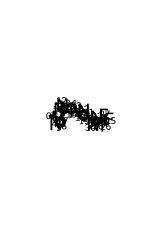 CC(C)c1ncccc1-c1nn(C)c2c1CN(c1ccc(-c3nc(C(F)(F)F)cn3C)cn1)CC2